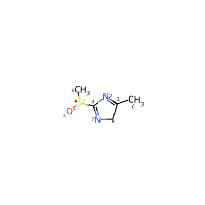 CC1=NC([S+](C)[O-])=NC1